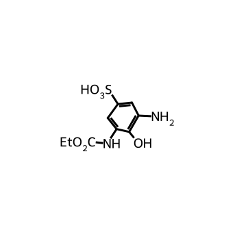 CCOC(=O)Nc1cc(S(=O)(=O)O)cc(N)c1O